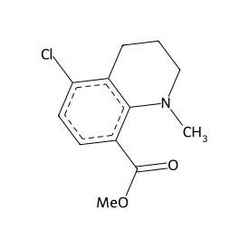 COC(=O)c1ccc(Cl)c2c1N(C)CCC2